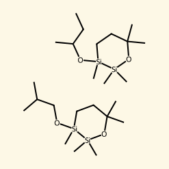 CC(C)CO[Si]1(C)CCC(C)(C)O[Si]1(C)C.CCC(C)O[Si]1(C)CCC(C)(C)O[Si]1(C)C